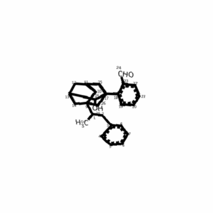 CC(Cc1ccccc1)C12CC3CC(C1)C(O)C(c1ccccc1C=O)(C3)C2